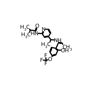 CC=C(NC(C)c1ccnc(NC(=O)C(C)C)c1)c1ccc(OC(F)(F)F)cc1O